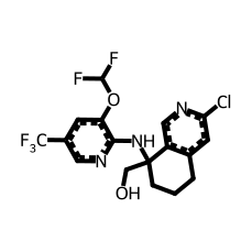 OCC1(Nc2ncc(C(F)(F)F)cc2OC(F)F)CCCc2cc(Cl)ncc21